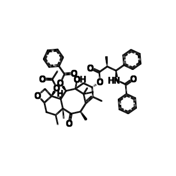 CC(=O)O[C@]12COC1CC(C)C1(C)C(=O)[C@H](C)C3=C(C)[C@@H](OC(=O)[C@@H](C)[C@H](NC(=O)c4ccccc4)c4ccccc4)CC(O)([C@H](OC(=O)c4ccccc4)[C@H]12)C3(C)C